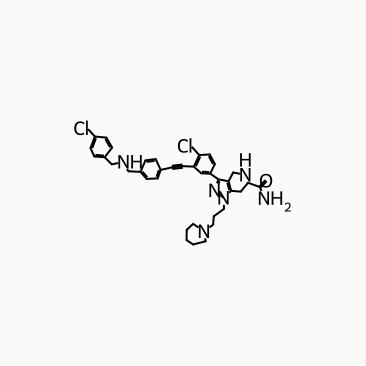 NC(=O)C1Cc2c(c(-c3ccc(Cl)c(C#Cc4ccc(CNCc5ccc(Cl)cc5)cc4)c3)nn2CCCN2CCCCC2)CN1